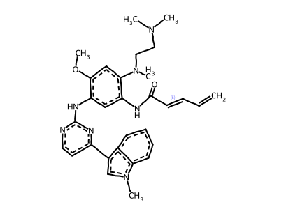 C=C/C=C/C(=O)Nc1cc(Nc2nccc(-c3cn(C)c4ccccc34)n2)c(OC)cc1N(C)CCN(C)C